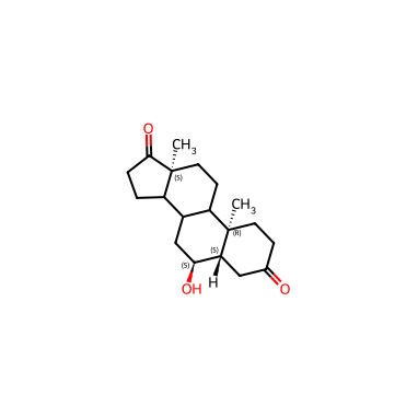 C[C@]12CCC3C(C[C@H](O)[C@H]4CC(=O)CC[C@]34C)C1CCC2=O